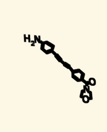 Nc1ccc(C#CC#Cc2ccc(C(=O)N3CCOCC3)cc2)cc1